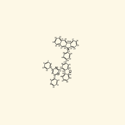 c1ccc(-c2cc(-c3ccccc3)nc(-c3cc(-c4ccc(-n5c6ccccc6c6cc7ccccc7cc65)cc4)cc4oc5ccccc5c34)n2)cc1